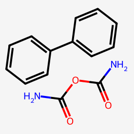 NC(=O)OC(N)=O.c1ccc(-c2ccccc2)cc1